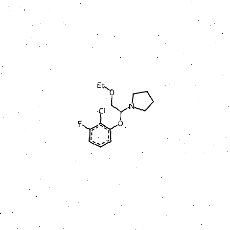 CCOCC(Oc1cccc(F)c1Cl)N1CCCC1